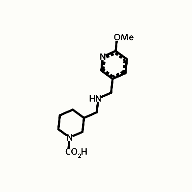 COc1ccc(CNCC2CCCN(C(=O)O)C2)cn1